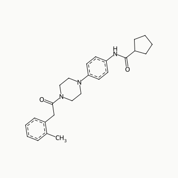 Cc1ccccc1CC(=O)N1CCN(c2ccc(NC(=O)C3CCCC3)cc2)CC1